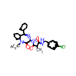 CC(C(=O)NCc1ccc(Cl)cc1)C(=O)NC1N=C(c2ccccc2)c2ccccc2N(C)C1=O